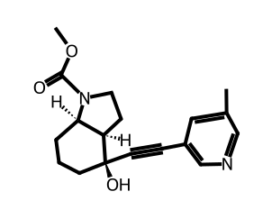 COC(=O)N1CC[C@@H]2[C@H]1CCC[C@@]2(O)C#Cc1cncc(C)c1